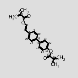 C=C(C)C(=O)O/C=C/c1ccc(-c2ccc(OC(=O)C(=C)C)cc2)cc1